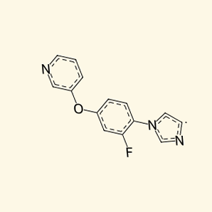 Fc1cc(Oc2cccnc2)ccc1-n1c[c]nc1